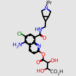 CC(C)N1CC2C(CNC(=O)c3cc(Cl)c(N)c4ccc(OC(=O)C(O)C(O)C(=O)O)nc34)C2C1